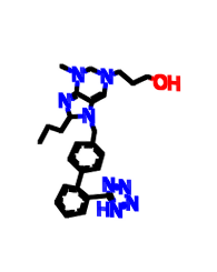 CCCC1N=C2C(=CN(CCCO)CN2C)N1Cc1ccc(-c2ccccc2-c2nnn[nH]2)cc1